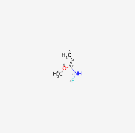 CC=C(NF)OC